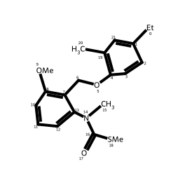 CCc1ccc(OCc2c(OC)cccc2N(C)C(=O)SC)c(C)c1